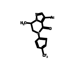 CC(=O)c1cnn2c1C(=O)N(c1ccc(C(F)(F)F)cc1)CC2C